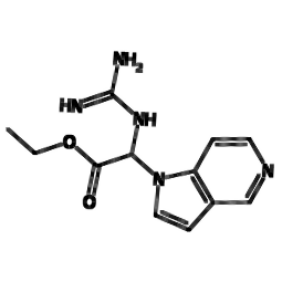 CCOC(=O)C(NC(=N)N)n1ccc2cnccc21